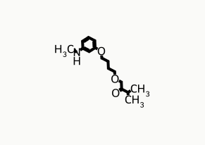 CNc1cccc(OCCCCOCC(=O)C(C)C)c1